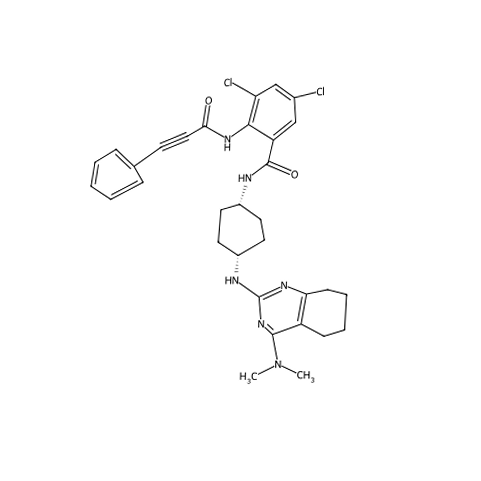 CN(C)c1nc(N[C@H]2CC[C@@H](NC(=O)c3cc(Cl)cc(Cl)c3NC(=O)C#Cc3ccccc3)CC2)nc2c1CCCC2